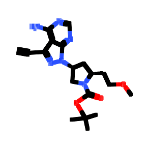 C#Cc1nn([C@H]2C[C@H](CCOC)N(C(=O)OC(C)(C)C)C2)c2ncnc(N)c12